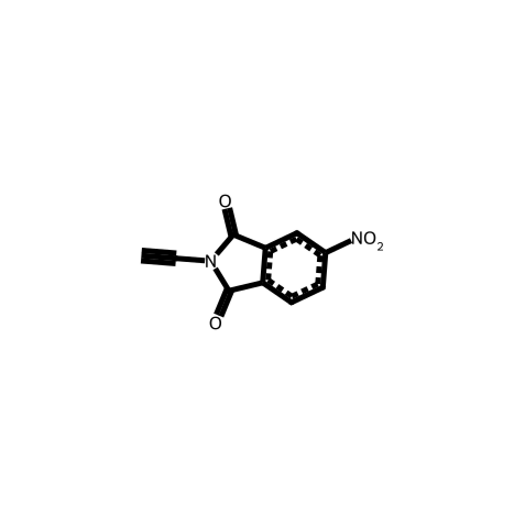 C#CN1C(=O)c2ccc([N+](=O)[O-])cc2C1=O